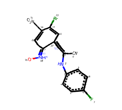 N#C/C(Nc1ccc(F)cc1)=C1\C=C(Br)C([N+](=O)[O-])=C\C1=[NH+]/[O-]